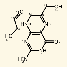 Nc1nc2c(c(=O)[nH]1)N=C(CO)CN2.O=CCO